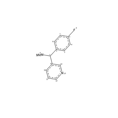 CNC(c1ccc(F)cc1)c1cccnc1